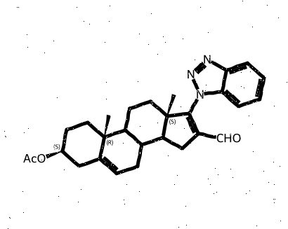 CC(=O)O[C@H]1CC[C@@]2(C)C(=CCC3C2CC[C@]2(C)C(n4nnc5ccccc54)=C(C=O)CC32)C1